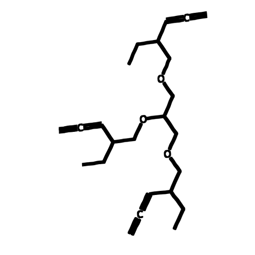 C=C=CC(CC)COCC(COCC(C=C=C)CC)OCC(C=C=C)CC